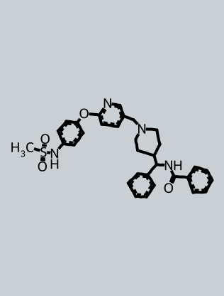 CS(=O)(=O)Nc1ccc(Oc2ccc(CN3CCC(C(NC(=O)c4ccccc4)c4ccccc4)CC3)cn2)cc1